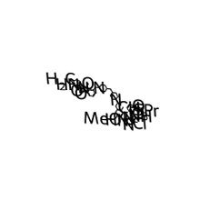 C=C1CCC(N2C(=O)c3cccc(CN4CCC(CC5CCN(CCc6cc(OC)c(Nc7ncc(Cl)c(Nc8ccccc8S(=O)(=O)C(C)C)n7)cc6C)CC5)CC4)c3C2=O)C(=O)N1